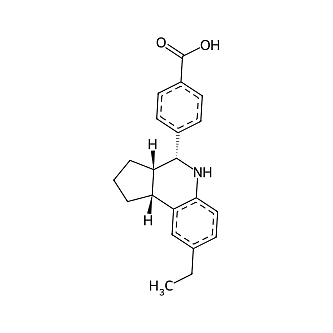 CCc1ccc2c(c1)[C@@H]1CCC[C@@H]1[C@H](c1ccc(C(=O)O)cc1)N2